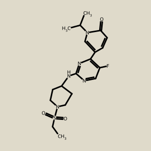 CCS(=O)(=O)N1CCC(Nc2ncc(F)c(-c3ccc(=O)n(C(C)C)c3)n2)CC1